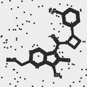 COCc1ncc2c(n1)n(C)c(=O)n2C(=O)N1CCC1c1cccc(C(F)(F)F)c1